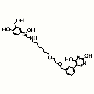 OCc1cc([C@H](O)CNCCCCCCOCCOCc2cccc(-c3cnc(O)nc3O)c2)ccc1O